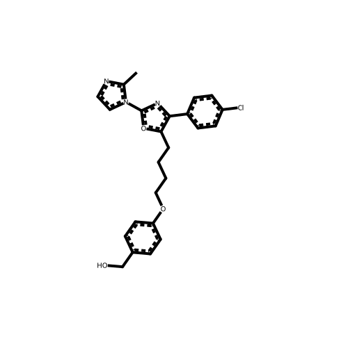 Cc1nccn1-c1nc(-c2ccc(Cl)cc2)c(CCCCOc2ccc(CO)cc2)o1